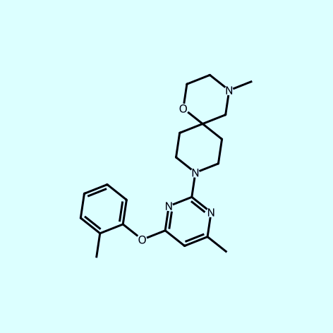 Cc1cc(Oc2ccccc2C)nc(N2CCC3(CC2)CN(C)CCO3)n1